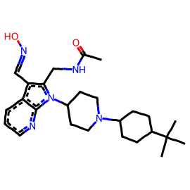 CC(=O)NCc1c(C=NO)c2cccnc2n1C1CCN(C2CCC(C(C)(C)C)CC2)CC1